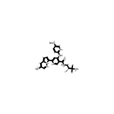 COc1ccc(Nc2cc(-c3ccc4cc(C#N)cnn34)ncc2C(=O)NC[C@@H](F)C(C)(C)O)nc1